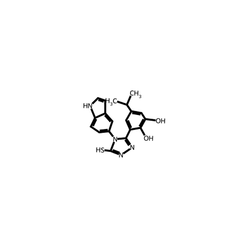 CC(C)c1cc(O)c(O)c(-c2nnc(S)n2-c2ccc3[nH]ccc3c2)c1